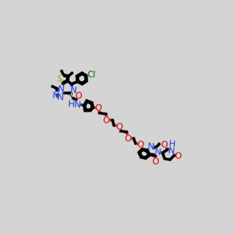 Cc1sc2c(c1C)C(c1ccc(Cl)cc1)=N[C@H](CC(=O)Nc1ccc(OCCOCCOCCOCCOc3cccc4c(=O)n(C5CCC(=O)NC5=O)c(C)nc34)cc1)c1nnc(C)n1-2